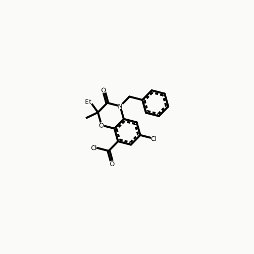 CCC1(C)Oc2c(C(=O)Cl)cc(Cl)cc2N(Cc2ccccc2)C1=O